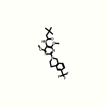 COc1nc(N2CCc3cc(C(F)(F)F)ccc3C2)nc(OC)c1NC(=O)CC(C)(C)C